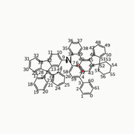 c1ccc(-c2ccc(N(c3ccc4c(c3)C(c3ccccc3)(c3ccccc3)c3ccccc3-4)c3ccccc3-c3cccc4c3-c3ccccc3C43CCCCC3)cc2)cc1